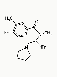 Cc1cc(C(=O)N(C)C(CN2CCCC2)C(C)C)ccc1F